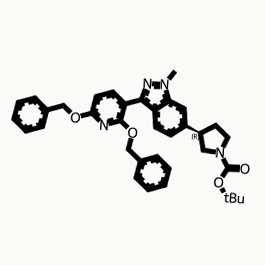 Cn1nc(-c2ccc(OCc3ccccc3)nc2OCc2ccccc2)c2ccc([C@H]3CCN(C(=O)OC(C)(C)C)C3)cc21